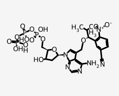 CC(C)[C@@H](OCc1cn([C@H]2CC(O)[C@@H](COP(=O)(O)OP(=O)(O)OP(=O)(O)O)O2)c2ncnc(N)c12)c1cc(C#N)ccc1[N+](=O)[O-]